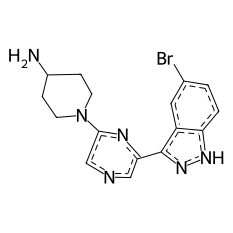 NC1CCN(c2cncc(-c3n[nH]c4ccc(Br)cc34)n2)CC1